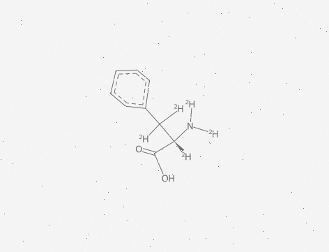 [2H]N([2H])[C@]([2H])(C(=O)O)C([2H])([2H])c1ccccc1